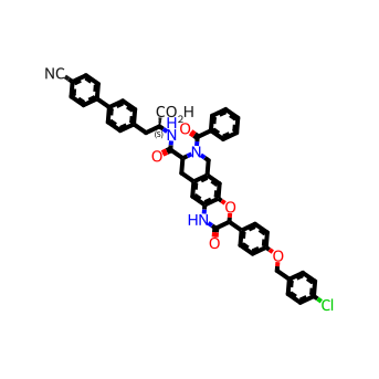 N#Cc1ccc(-c2ccc(C[C@H](NC(=O)C3Cc4cc5c(cc4CN3C(=O)c3ccccc3)OC(c3ccc(OCc4ccc(Cl)cc4)cc3)C(=O)N5)C(=O)O)cc2)cc1